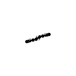 c1ccc2cc3sc(-c4ccc(-c5ccc6c(c5)sc5c7ccc(-c8ccc(-c9cc%10cc%11ccccc%11cc%10s9)cc8)cc7sc65)cc4)cc3cc2c1